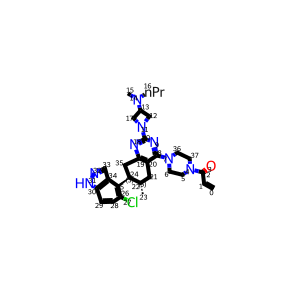 C=CC(=O)N1CCN(c2nc(N3CC(N(C)CCC)C3)nc3c2C[C@H](C)[C@@H](c2c(Cl)ccc4[nH]ncc24)C3)CC1